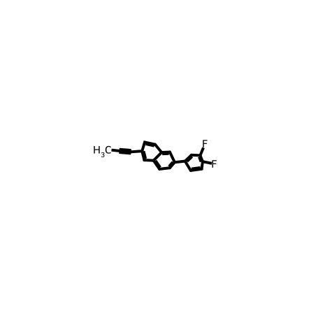 CC#Cc1ccc2cc(-c3ccc(F)c(F)c3)ccc2c1